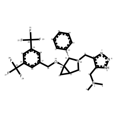 CN(C)Cc1[nH]nnc1CN1CC2C[C@]2(OCc2cc(C(F)(F)F)cc(C(F)(F)F)c2)[C@@H]1c1ccccc1